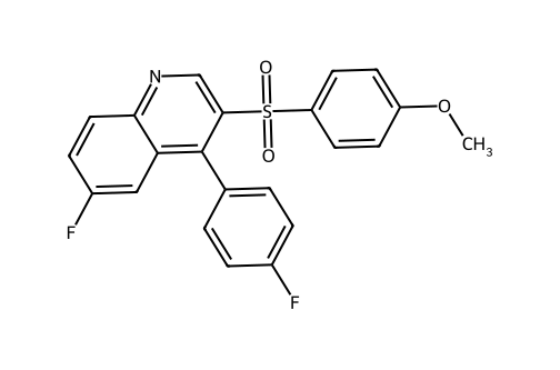 COc1ccc(S(=O)(=O)c2cnc3ccc(F)cc3c2-c2ccc(F)cc2)cc1